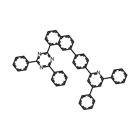 c1ccc(-c2cc(-c3ccccc3)nc(-c3ccc(-c4ccc5cccc(-c6nc(-c7ccccc7)nc(-c7ccccc7)n6)c5c4)cc3)c2)cc1